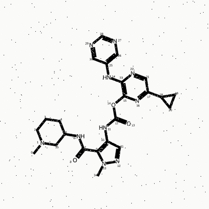 CN1CCCC(NC(=O)c2c(NC(=O)Oc3nc(C4CC4)cnc3Nc3cncnc3)cnn2C)C1